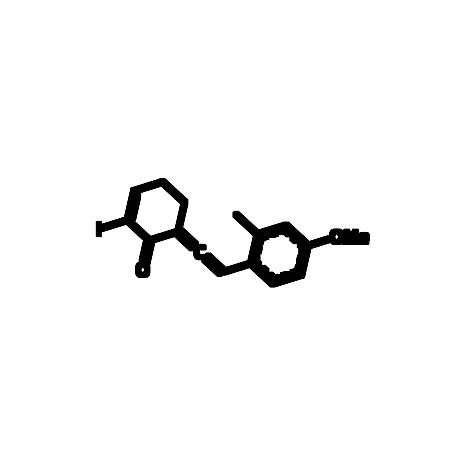 COc1ccc(C=C=C2CCC=C(I)C2=O)c(C)c1